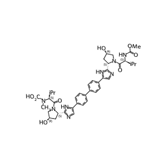 COC(=O)N[C@H](C(=O)N1C[C@H](O)C[C@H]1c1ncc(-c2ccc(-c3ccc(-c4cnc([C@@H]5C[C@@H](O)CN5C(=O)[C@H](C(C)C)N(C)C(=O)O)[nH]4)cc3)cc2)[nH]1)C(C)C